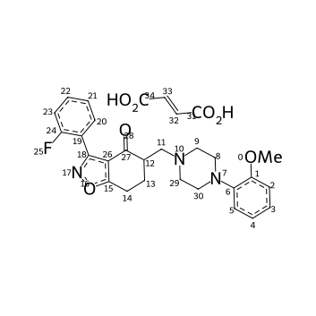 COc1ccccc1N1CCN(CC2CCc3onc(-c4ccccc4F)c3C2=O)CC1.O=C(O)C=CC(=O)O